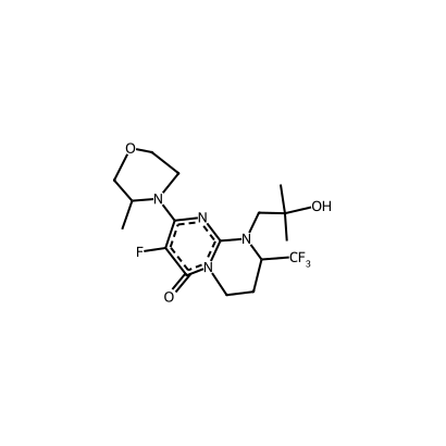 CC1COCCN1c1nc2n(c(=O)c1F)CCC(C(F)(F)F)N2CC(C)(C)O